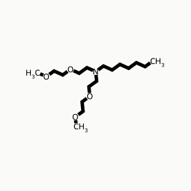 CCCCCCCN(CCOCCOC)CCOCCOC